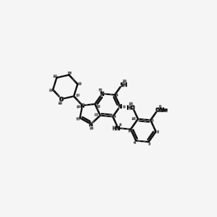 COc1cccc(Nc2nc(S)nc3c2ncn3C2CCCCO2)c1O